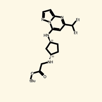 CCC(CC)c1cc(N[C@H]2CC[C@H](NCC(=O)OC(C)(C)C)C2)n2nccc2n1